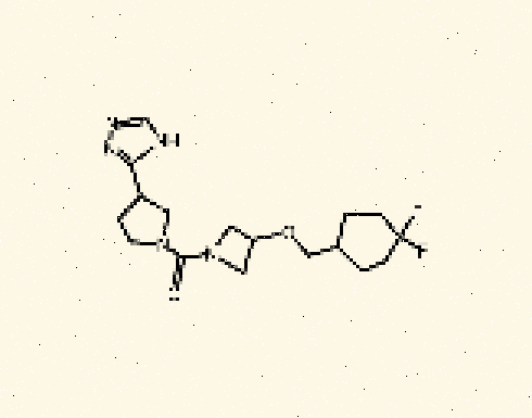 O=C(N1CC(OCC2CCC(F)(F)CC2)C1)N1CCC(c2nnc[nH]2)C1